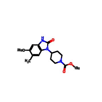 COc1cc2[nH]c(=O)n(C3CCN(C(=O)OC(C)(C)C)CC3)c2cc1C